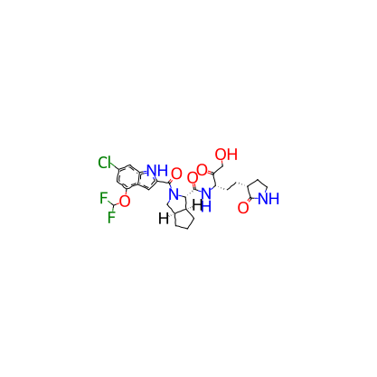 O=C1NCC[C@H]1CC[C@H](NC(=O)[C@@H]1[C@H]2CCC[C@H]2CN1C(=O)c1cc2c(OC(F)F)cc(Cl)cc2[nH]1)C(=O)CO